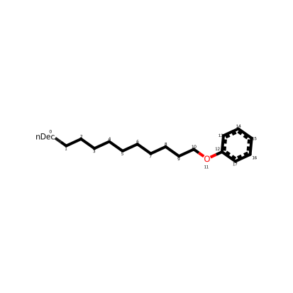 CCCCCCCCCCCCCCCCCCCCOc1ccccc1